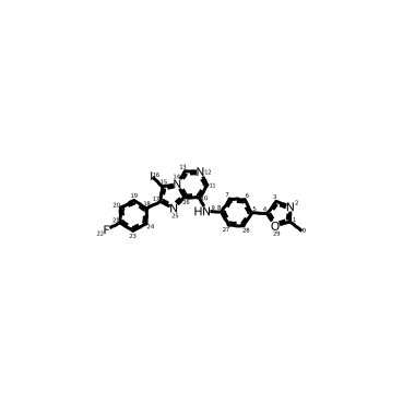 Cc1ncc(-c2ccc(Nc3cncn4c(I)c(-c5ccc(F)cc5)nc34)cc2)o1